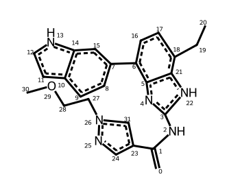 C=C(Nc1nc2c(-c3ccc4cc[nH]c4c3)ccc(CC)c2[nH]1)c1cnn(CCOC)c1